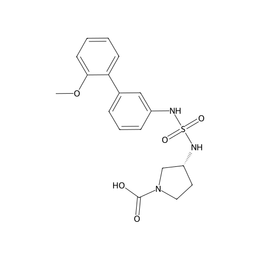 COc1ccccc1-c1cccc(NS(=O)(=O)N[C@@H]2CCN(C(=O)O)C2)c1